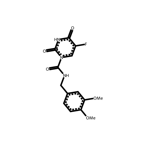 COc1ccc(CNC(=O)n2cc(F)c(=O)[nH]c2=O)cc1OC